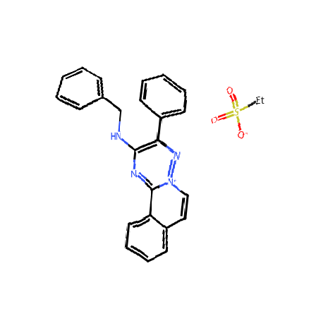 CCS(=O)(=O)[O-].c1ccc(CNc2nc3c4ccccc4cc[n+]3nc2-c2ccccc2)cc1